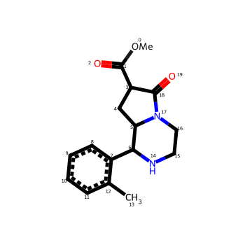 COC(=O)C1CC2C(c3ccccc3C)NCCN2C1=O